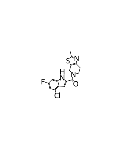 Cc1nc2c(s1)CN(C(=O)c1cc3c(Cl)cc(F)cc3[nH]1)CC2